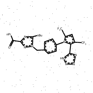 CCCCc1nc(C(=O)CCC)nn1Cc1ccc(-n2c(C(F)(F)F)cc(C(F)(F)F)c2-c2nnn[nH]2)cc1